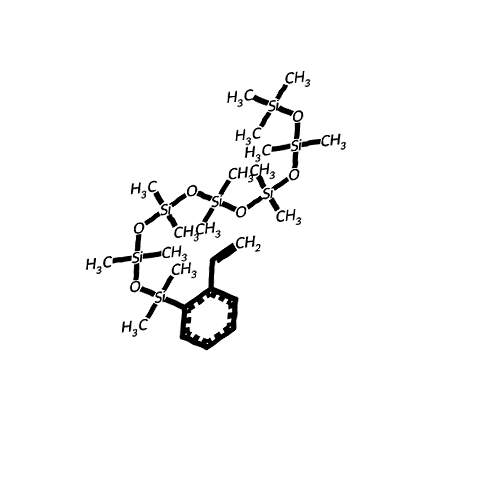 C=Cc1ccccc1[Si](C)(C)O[Si](C)(C)O[Si](C)(C)O[Si](C)(C)O[Si](C)(C)O[Si](C)(C)O[Si](C)(C)C